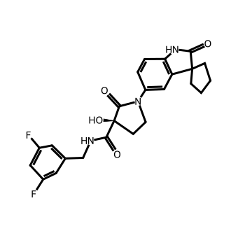 O=C1Nc2ccc(N3CC[C@](O)(C(=O)NCc4cc(F)cc(F)c4)C3=O)cc2C12CCCC2